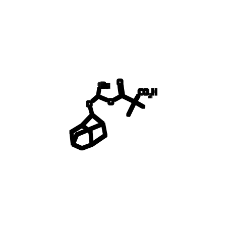 CC(C)(C(=O)O)C(=O)OC(OC1C2CC3CC(C2)CC1C3)C(C)(C)C